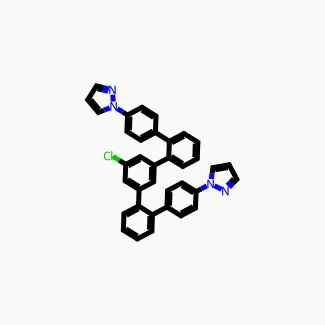 Clc1cc(-c2ccccc2-c2ccc(-n3cccn3)cc2)cc(-c2ccccc2-c2ccc(-n3cccn3)cc2)c1